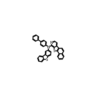 c1ccc(-c2ccc(N(c3ccc4sc5ccccc5c4c3)c3nccc4c3sc3c5ccccc5ccc43)cc2)cc1